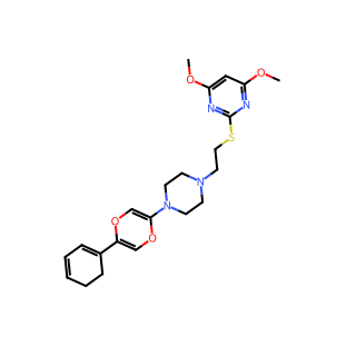 COc1cc(OC)nc(SCCN2CCN(C3=COC(C4=CC=CCC4)=CO3)CC2)n1